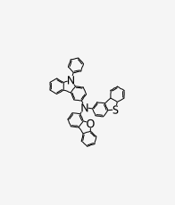 C1=CC2Sc3ccc(N(c4ccc5c(c4)c4ccccc4n5-c4ccccc4)c4cccc5c4oc4ccccc45)cc3C2C=C1